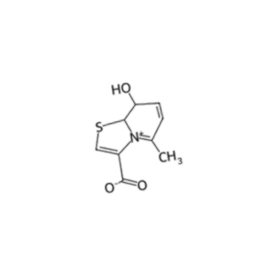 CC1=[N+]2C(C(=O)[O-])=CSC2C(O)C=C1